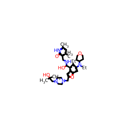 CCc1c(N(CC)C2CCOCC2)cc2oc(CN3CCN(CC(C)(C)O)CC3)cc2c1C(O)NCc1c(C)cc(C)[nH]c1=O